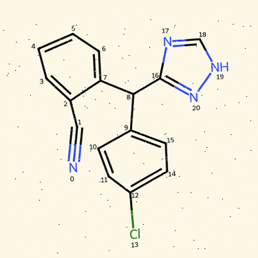 N#Cc1ccccc1C(c1ccc(Cl)cc1)c1nc[nH]n1